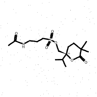 CC(=O)NCCCS(=O)(=O)OC[C@@]1(C(C)C)CCC(C)(C)C(=O)O1